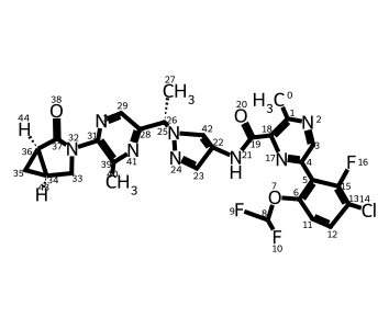 Cc1ncc(-c2c(OC(F)F)ccc(Cl)c2F)nc1C(=O)Nc1cnn([C@@H](C)c2cnc(N3C[C@H]4C[C@H]4C3=O)c(C)n2)c1